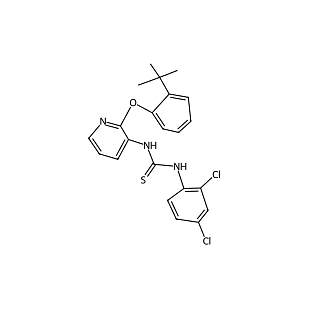 CC(C)(C)c1ccccc1Oc1ncccc1NC(=S)Nc1ccc(Cl)cc1Cl